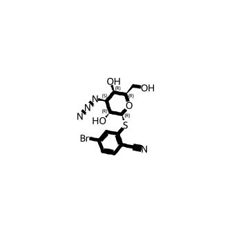 N#Cc1ccc(Br)cc1S[C@H]1O[C@H](CO)[C@H](O)[C@H](N=[N+]=[N-])[C@H]1O